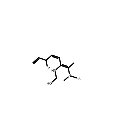 C=CC(Br)/C=C\C(NCO)=C(/C)N(C)C(C)CC